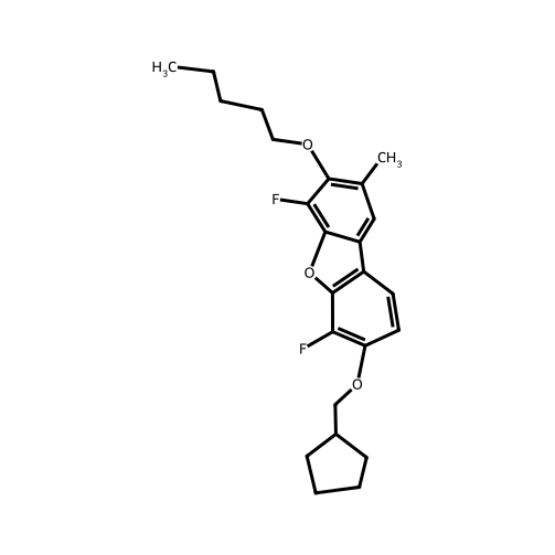 CCCCCOc1c(C)cc2c(oc3c(F)c(OCC4CCCC4)ccc32)c1F